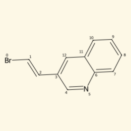 BrC=Cc1cnc2ccccc2c1